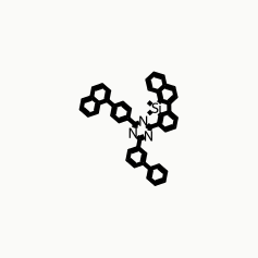 C[Si]1(C)c2c(-c3nc(-c4ccc(-c5cccc6ccccc56)cc4)nc(-c4cccc(-c5ccccc5)c4)n3)cccc2-c2ccc3ccccc3c21